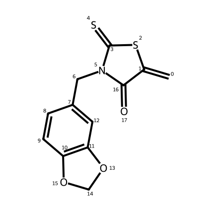 C=C1SC(=S)N(Cc2ccc3c(c2)OCO3)C1=O